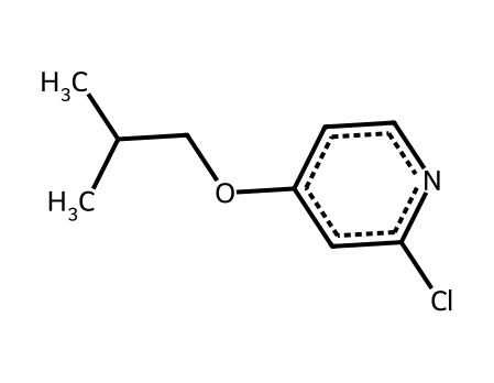 CC(C)COc1ccnc(Cl)c1